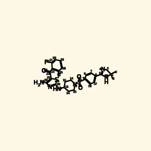 CC1(C)CN=C(c2ccc(S(=O)(=O)N3CCC(Nc4nc(N)c(C(=O)c5c(F)cccc5F)s4)CC3)cc2)N1